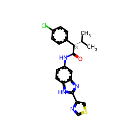 CC(C)[C@H](C(=O)Nc1ccc2[nH]c(-c3cscn3)nc2c1)c1ccc(Cl)cc1